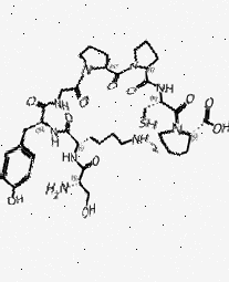 NCCCC[C@H](NC(=O)[C@@H](N)CO)C(=O)N[C@@H](Cc1ccc(O)cc1)C(=O)NCC(=O)N1CCC[C@H]1C(=O)N1CCC[C@H]1C(=O)N[C@@H](CS)C(=O)N1CCC[C@H]1C(=O)O